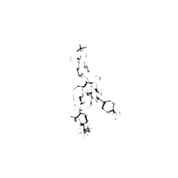 CCc1c(N2CCN(C(=O)OC(C)(C)C)CC2)c(=O)n2nc(C3=CCC(OC)CC3)nc2n1CC(=O)Nc1ccc(C(F)(F)F)nc1Cl